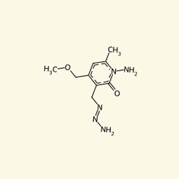 COCc1cc(C)n(N)c(=O)c1CN=NN